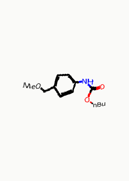 CCCCOC(=O)Nc1ccc(COC)cc1